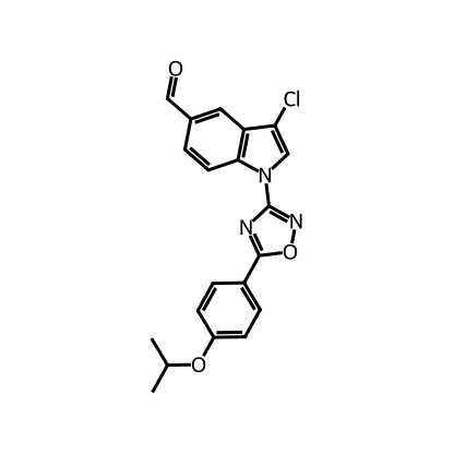 CC(C)Oc1ccc(-c2nc(-n3cc(Cl)c4cc(C=O)ccc43)no2)cc1